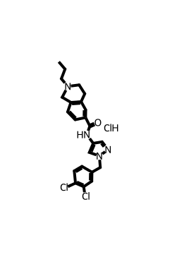 CCCN1CCc2cc(C(=O)Nc3cnn(Cc4ccc(Cl)c(Cl)c4)c3)ccc2C1.Cl